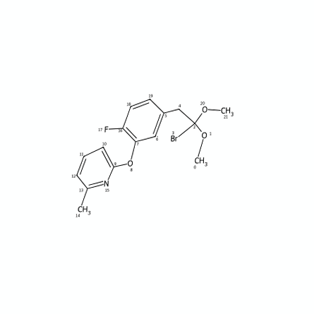 COC(Br)(Cc1[c]c(Oc2cccc(C)n2)c(F)cc1)OC